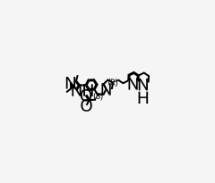 COC(=O)C[C@H](CN1CC[C@@H](CCc2ccc3c(n2)NCCC3)C1)c1cccc(-c2[nH]c(C)nc2C)c1